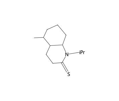 CC1CCCC2C1CCC(=S)N2C(C)C